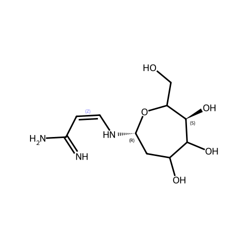 N=C(N)/C=C\N[C@H]1CC(O)C(O)[C@H](O)C(CO)O1